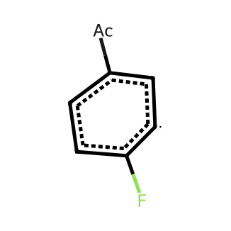 CC(=O)c1c[c]c(F)cc1